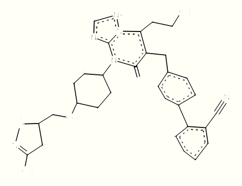 CCCc1c(Cc2ccc(-c3ccccc3C#N)cc2)c(=O)n(C2CCC(OCC3CC(C)=NO3)CC2)c2ncnn12